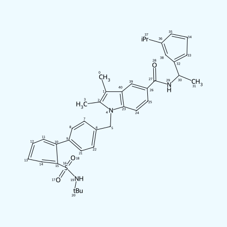 Cc1c(C)n(Cc2ccc(-c3ccccc3S(=O)(=O)NC(C)(C)C)cc2)c2ccc(C(=O)NC(C)c3cccc(C(C)C)c3)cc12